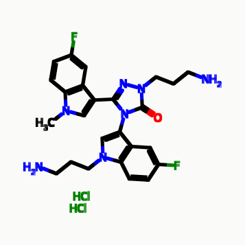 Cl.Cl.Cn1cc(-c2nn(CCCN)c(=O)n2-c2cn(CCCN)c3ccc(F)cc23)c2cc(F)ccc21